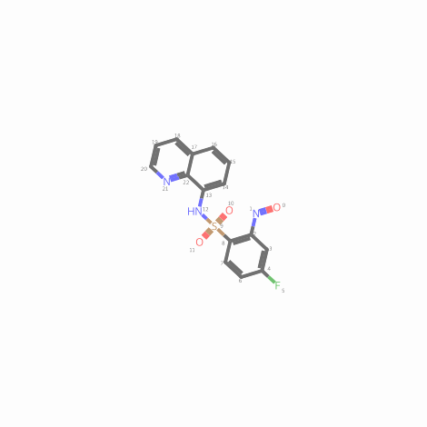 O=Nc1cc(F)ccc1S(=O)(=O)Nc1cccc2cccnc12